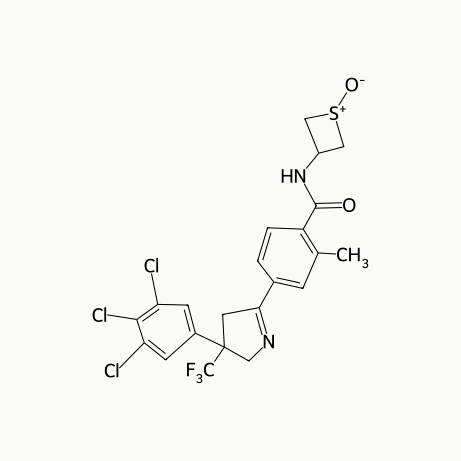 Cc1cc(C2=NCC(c3cc(Cl)c(Cl)c(Cl)c3)(C(F)(F)F)C2)ccc1C(=O)NC1C[S+]([O-])C1